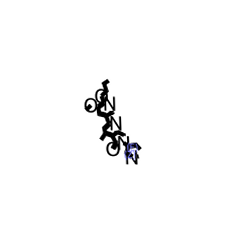 C/C=C(\C=N/C)N1Cc2nc(-c3cnc(OCCC)c(OC)c3)cc(C)c2C1=O